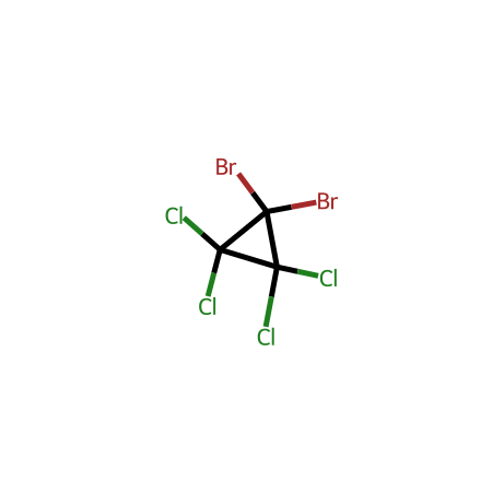 ClC1(Cl)C(Cl)(Cl)C1(Br)Br